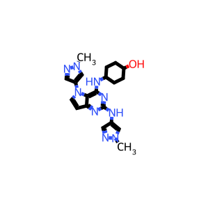 Cn1cc(Nc2nc(NC3CCC(O)CC3)c3c(ccn3-c3cnn(C)c3)n2)cn1